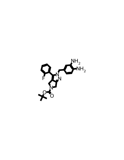 CC(C)(C)OC(=O)N1Cc2nn(Cc3ccc(N)c(N)c3)c(-c3ccccc3F)c2C1